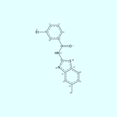 CCc1cccc(C(=O)Nc2nc3cc(C)ccc3s2)c1